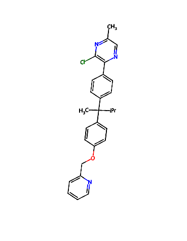 Cc1cnc(-c2ccc(C(C)(c3ccc(OCc4ccccn4)cc3)C(C)C)cc2)c(Cl)n1